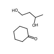 CC(O)CCO.O=C1CCCCC1